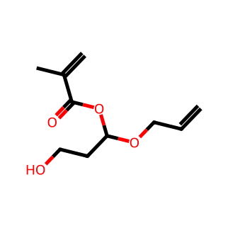 C=CCOC(CCO)OC(=O)C(=C)C